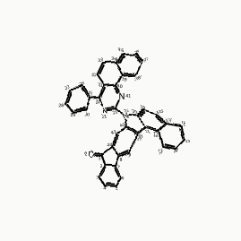 O=C1c2ccccc2-c2cc3c4c5ccccc5ccc4n(-c4nc(-c5ccccc5)c5ccc6ccccc6c5n4)c3cc21